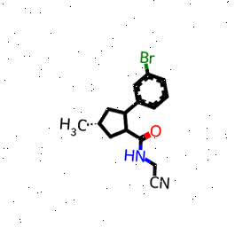 C[C@H]1CC(C(=O)NCC#N)C(c2cccc(Br)c2)C1